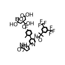 Cc1cc(F)ccc1-c1cc([C@H]2CC[C@](C)(C(N)=O)N2)ncc1N(C)C(=O)C(C)(C)c1cc(C(F)(F)F)cc(C(F)(F)F)c1.O=C(O)CC(O)(CC(=O)O)C(=O)O